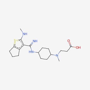 CNc1sc2c(c1C(=N)NC1CCC(N(C)CCC(=O)O)CC1)CCC2